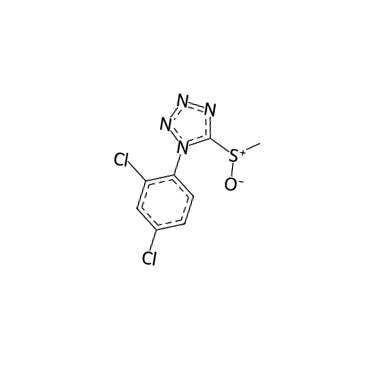 C[S+]([O-])c1nnnn1-c1ccc(Cl)cc1Cl